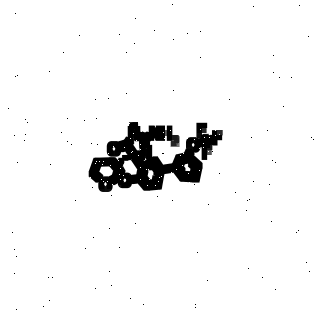 CN1C(=O)[C@@]2(C[C@]3(CCCOC3)Oc3ccc(-c4cccc(OC(F)(F)F)c4)cc32)N=C1N